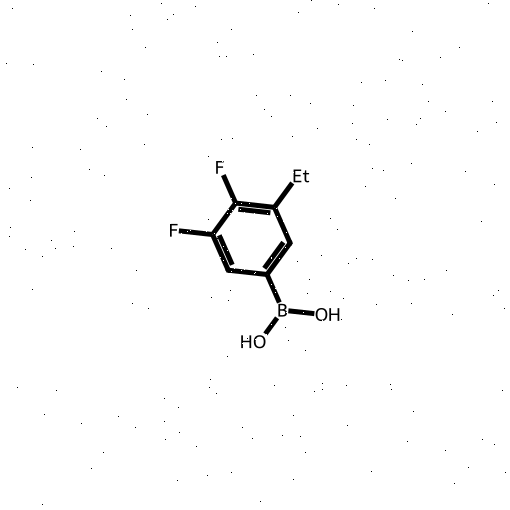 CCc1cc(B(O)O)cc(F)c1F